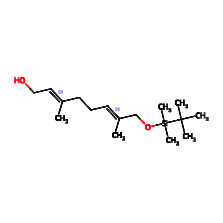 C/C(=C\CO)CC/C=C(\C)CO[Si](C)(C)C(C)(C)C